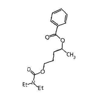 CCN(CC)C(=O)OCCCC(C)OC(=O)c1ccccc1